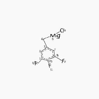 Fc1cc([CH2][Mg][Cl])cc(F)c1F